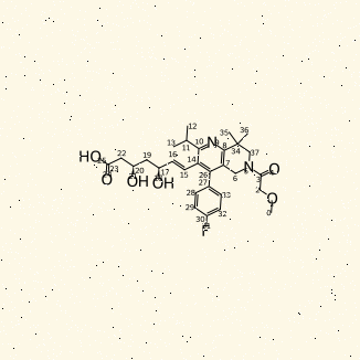 COCC(=O)N1Cc2c(nc(C(C)C)c(/C=C/[C@@H](O)C[C@@H](O)CC(=O)O)c2-c2ccc(F)cc2)C(C)(C)C1